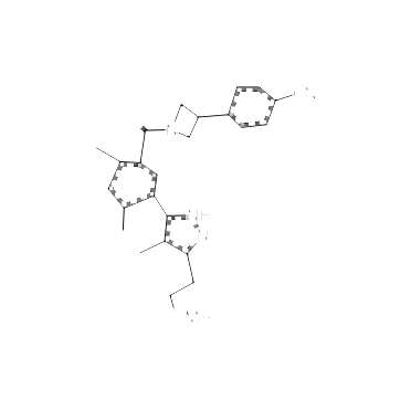 COCCc1n[nH]c(-c2cc(C(=O)N3CC(c4ccc(C#N)cc4)C3)c(C)cc2C)c1C